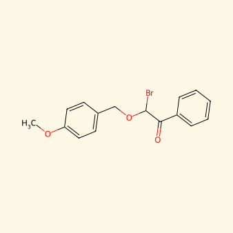 COc1ccc(COC(Br)C(=O)c2ccccc2)cc1